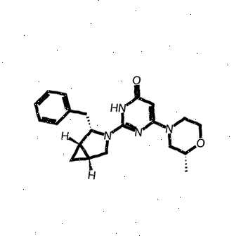 C[C@@H]1CN(c2cc(=O)[nH]c(N3C[C@@H]4C[C@@H]4[C@@H]3Cc3ccccc3)n2)CCO1